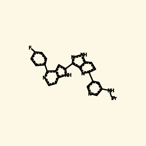 CC(C)Nc1cncc(-c2ccc3[nH]nc(-c4cc5c(-c6ccc(F)cc6)nccc5[nH]4)c3n2)c1